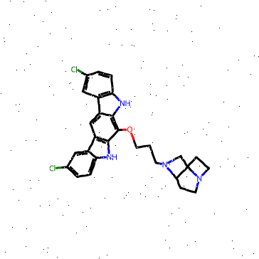 Clc1ccc2[nH]c3c(OCCCN4CC56CCN5CCC46)c4[nH]c5ccc(Cl)cc5c4cc3c2c1